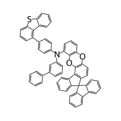 c1ccc(-c2cccc(N(c3ccc(-c4cccc5sc6ccccc6c45)cc3)c3cccc4c3Oc3c(ccc5c3-c3ccccc3C53c5ccccc5-c5ccccc53)O4)c2)cc1